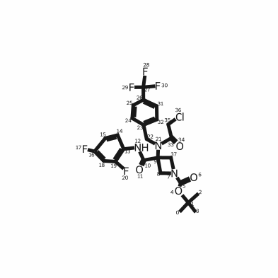 CC(C)(C)OC(=O)N1CC(C(=O)Nc2ccc(F)cc2F)(N(Cc2ccc(C(F)(F)F)cc2)C(=O)CCl)C1